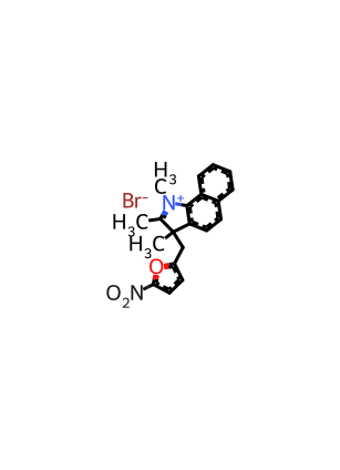 CC1=[N+](C)c2c(ccc3ccccc23)C1(C)Cc1ccc([N+](=O)[O-])o1.[Br-]